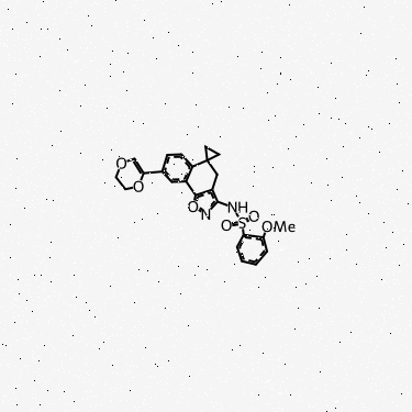 COc1ccccc1S(=O)(=O)Nc1noc2c1CC1(CC1)c1ccc(C3=COCCO3)cc1-2